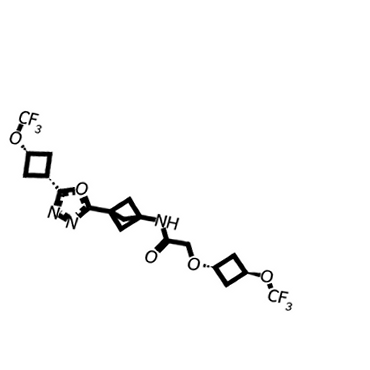 O=C(CO[C@H]1C[C@H](OC(F)(F)F)C1)NC12CC(c3nnc([C@H]4C[C@@H](OC(F)(F)F)C4)o3)(C1)C2